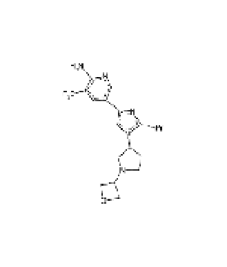 CC(C)c1nc(-c2cnc(N)c(C(F)(F)F)c2)cn1C1CCN(C2COC2)C1